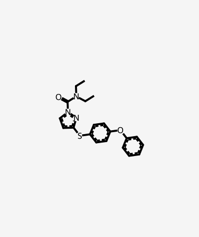 CCN(CC)C(=O)n1ccc(Sc2ccc(Oc3ccccc3)cc2)n1